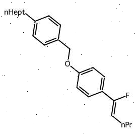 CCCC=C(F)c1ccc(OCc2ccc(CCCCCCC)cc2)cc1